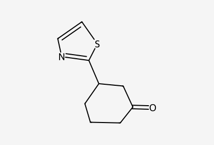 O=C1CCCC(c2nccs2)C1